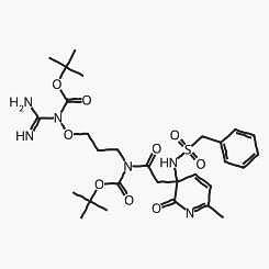 CC1=NC(=O)C(CC(=O)N(CCCON(C(=N)N)C(=O)OC(C)(C)C)C(=O)OC(C)(C)C)(NS(=O)(=O)Cc2ccccc2)C=C1